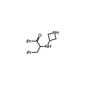 CC(C)CC(NC1CNC1)C(=O)C(C)C